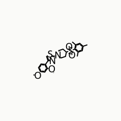 COc1ccc(-c2csc(N3CCC(S(=O)(=O)c4c(C)cc(C)cc4C)CC3)n2)c(OC)c1